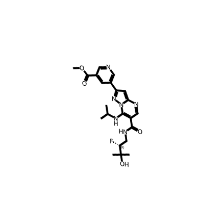 COC(=O)c1cncc(-c2cc3ncc(C(=O)NC[C@@H](F)C(C)(C)O)c(NC(C)C)n3n2)c1